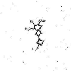 CCc1c(SC)nc2nc(-c3noc(C)n3)cn2c1C